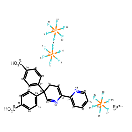 F[P-](F)(F)(F)(F)F.F[P-](F)(F)(F)(F)F.F[P-](F)(F)(F)(F)F.O=C(O)c1ccc(C2(c3ccc(C(=O)O)cc3)C=NC(c3ccccn3)=CC2)cc1.[Ru+3]